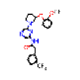 CCOc1ccccc1OC1CCCN(c2cncc(NC(=O)Cc3cccc(C(F)(F)F)c3)n2)C1